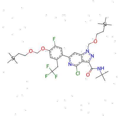 CC(C)(C)NC(=O)c1nn(COCC[Si](C)(C)C)c2cc(-c3cc(F)c(OCOCC[Si](C)(C)C)cc3CC(F)(F)F)nc(Cl)c12